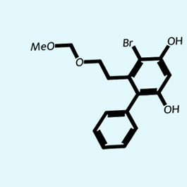 COCOCCc1c(Br)c(O)cc(O)c1-c1ccccc1